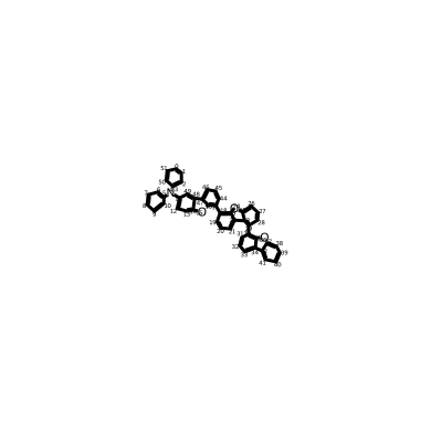 c1ccc(N(c2ccccc2)c2ccc3oc4c(-c5cccc6c5oc5cccc(-c7cccc8c7oc7ccccc78)c56)cccc4c3c2)cc1